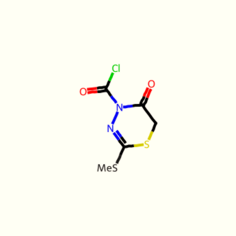 CSC1=NN(C(=O)Cl)C(=O)CS1